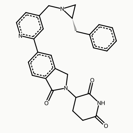 O=C1CCC(N2Cc3cc(-c4cc(CN5C[C@@H]5Cc5ccccc5)ccn4)ccc3C2=O)C(=O)N1